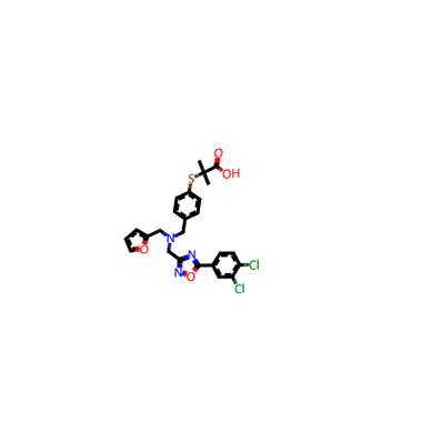 CC(C)(Sc1ccc(CN(Cc2noc(-c3ccc(Cl)c(Cl)c3)n2)Cc2ccco2)cc1)C(=O)O